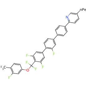 CCCCCc1ccc(-c2ccc(-c3ccc(-c4cc(F)c(C(F)(F)Oc5ccc(C(F)(F)F)c(F)c5)c(F)c4)c(F)c3)cc2)nc1